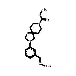 CC(C)(C)OC(=O)N1CCC2(CC1)CN(c1cccc(COC=O)c1)CO2